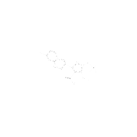 Cc1ccc2cc(-c3nn(CC(F)(F)F)c(N)c3C(N)=O)cnc2c1